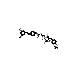 COc1cc(C=Cc2ccc(OC(=O)OCCNC(=O)C(Cc3ccc(OC(C)(C)C)cc3)NC(=O)O)cc2)cc(OC)c1